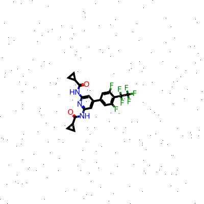 O=C(Nc1cc(-c2cc(F)c(C(F)(F)C(F)(F)F)c(F)c2)cc(NC(=O)C2CC2)n1)C1CC1